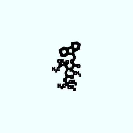 CN(C)C(=O)[C@H](CC(=O)OC(C)(C)C)N(C)C(=O)OCC1c2ccccc2-c2ccccc21